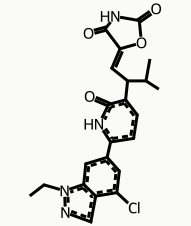 CCn1ncc2c(Cl)cc(-c3ccc(C(C=C4OC(=O)NC4=O)C(C)C)c(=O)[nH]3)cc21